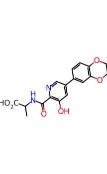 CC(NC(=O)c1ncc(-c2ccc3c(c2)OCCO3)cc1O)C(=O)O